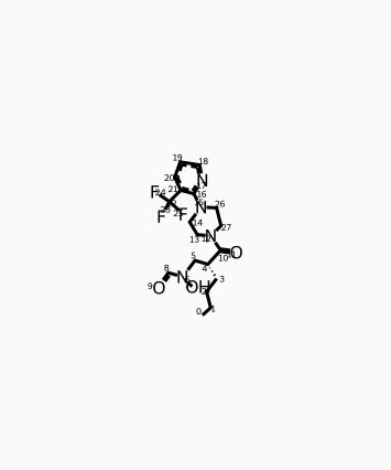 CCCC[C@H](CN(O)C=O)C(=O)N1CCN(c2ncccc2C(F)(F)F)CC1